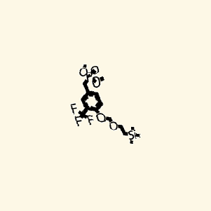 COP(=O)(Cc1ccc(OCOCC[Si](C)(C)C)c(C(F)(F)F)c1)OC